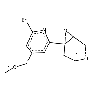 COCc1cc(Br)nc(C23CCOCC2O3)c1